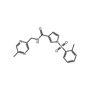 Cc1cnc(CNC(=O)c2ccn(S(=O)(=O)c3ccccc3C)c2)cn1